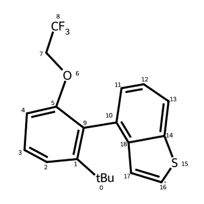 CC(C)(C)c1cccc(OCC(F)(F)F)c1-c1cccc2s[c]cc12